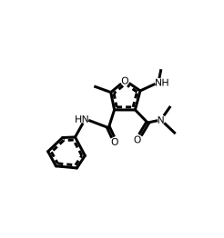 CNc1oc(C)c(C(=O)Nc2ccccc2)c1C(=O)N(C)C